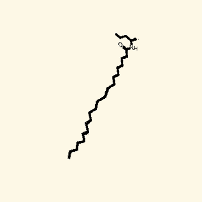 [CH2]C(CCC)NC(=O)CCCCCCCCCCCCCCCCCCCCC